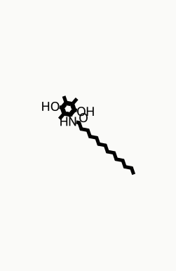 CCCCCCCCCCCCCC(=O)Nc1c(C)c(O)c(C)c(C)c1O